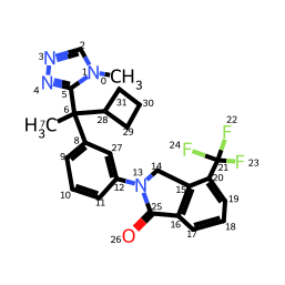 Cn1cnnc1C(C)(c1cccc(N2Cc3c(cccc3C(F)(F)F)C2=O)c1)C1CCC1